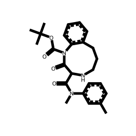 Cc1cccc(N(C)C(=O)C2NCCCc3ccccc3N(C(=O)OC(C)(C)C)C2=O)c1